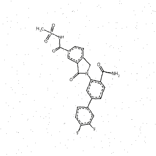 CS(=O)(=O)NC(=O)c1ccc2c(c1)C(=O)N(c1cc(-c3ccc(F)c(F)c3)ccc1C(N)=O)C2